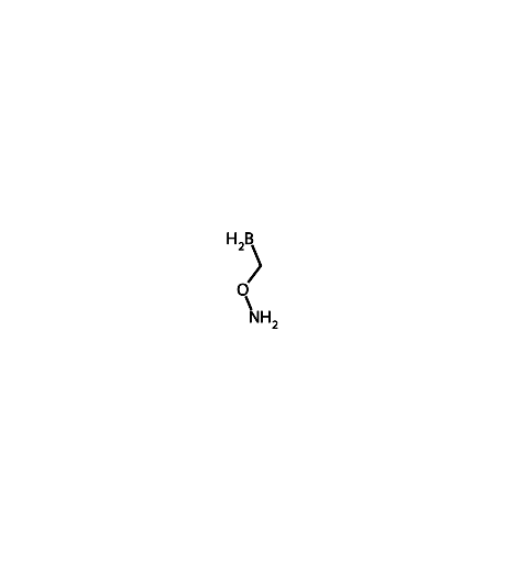 BCON